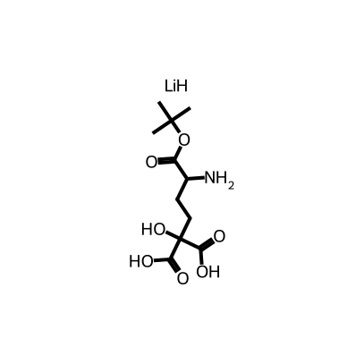 CC(C)(C)OC(=O)C(N)CCC(O)(C(=O)O)C(=O)O.[LiH]